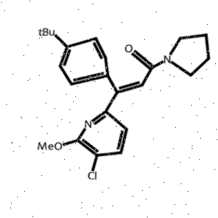 COc1nc(/C(=C/C(=O)N2CCCC2)c2ccc(C(C)(C)C)cc2)ccc1Cl